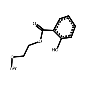 CCCOCCOC(=O)c1ccccc1O